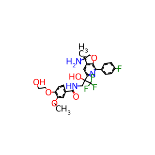 COc1cc(C(=O)NCC(O)(c2cc3c(c(-c4ccc(F)cc4)n2)OC[C@@]3(C)N)C(F)(F)F)ccc1OCCO